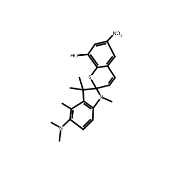 Cc1c(N(C)C)ccc2c1C(C)(C)C1(C=Cc3cc([N+](=O)[O-])cc(O)c3S1)N2C